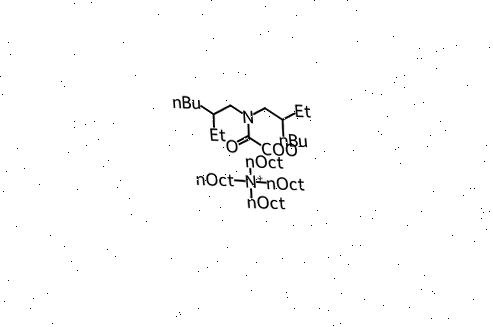 CCCCC(CC)CN(CC(CC)CCCC)C(=O)C(=O)[O-].CCCCCCCC[N+](CCCCCCCC)(CCCCCCCC)CCCCCCCC